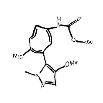 COc1ccc(NC(=O)OC(C)(C)C)cc1-c1c(OC)cnn1C